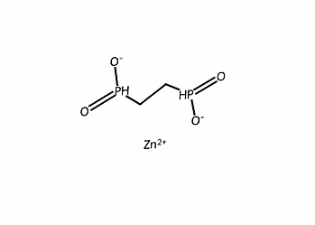 O=[PH]([O-])CC[PH](=O)[O-].[Zn+2]